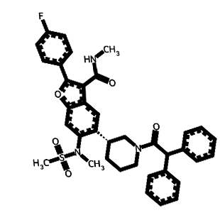 CNC(=O)c1c(-c2ccc(F)cc2)oc2cc(N(C)S(C)(=O)=O)c([C@H]3CCCN(C(=O)C(c4ccccc4)c4ccccc4)C3)cc12